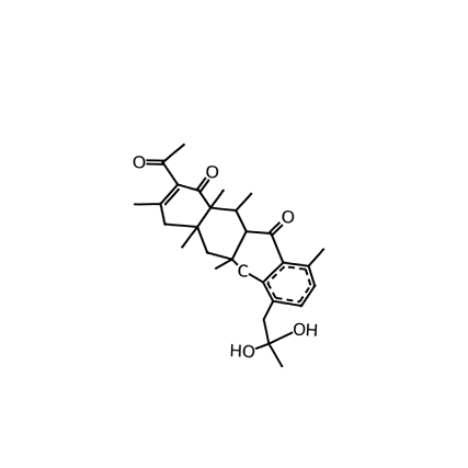 CC(=O)C1=C(C)CC2(C)CC3(C)Cc4c(CC(C)(O)O)ccc(C)c4C(=O)C3C(C)C2(C)C1=O